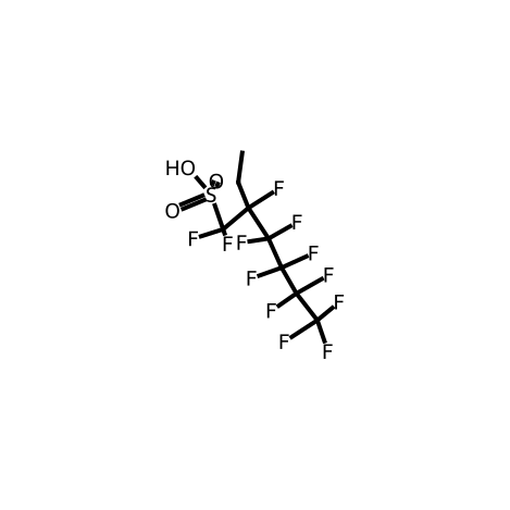 CCC(F)(C(F)(F)C(F)(F)C(F)(F)C(F)(F)F)C(F)(F)S(=O)(=O)O